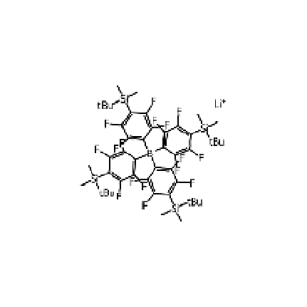 CC(C)(C)[Si](C)(C)c1c(F)c(F)c([B-](c2c(F)c(F)c([Si](C)(C)C(C)(C)C)c(F)c2F)(c2c(F)c(F)c([Si](C)(C)C(C)(C)C)c(F)c2F)c2c(F)c(F)c([Si](C)(C)C(C)(C)C)c(F)c2F)c(F)c1F.[Li+]